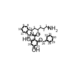 NCCCCCC1c2ccccc2CN1C(=O)c1c(O)cc(O)cc1OCc1ccccc1